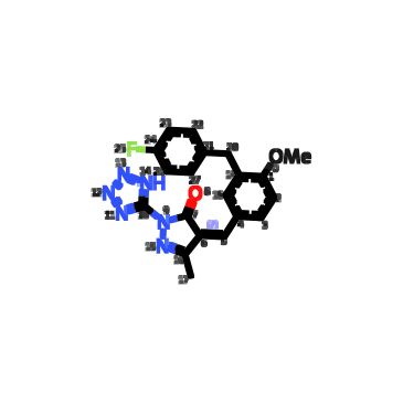 COc1ccc(/C=C2\C(=O)N(c3nnn[nH]3)N=C2C)cc1Cc1ccc(F)cc1